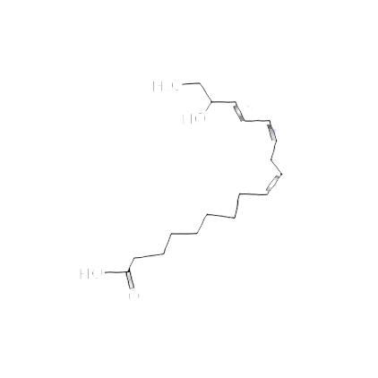 CCC(O)/C=C/C=C\C/C=C\CCCCCCCC(=O)O